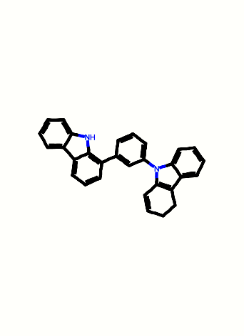 C1=Cc2c(c3ccccc3n2-c2cccc(-c3cccc4c3[nH]c3ccccc34)c2)CC1